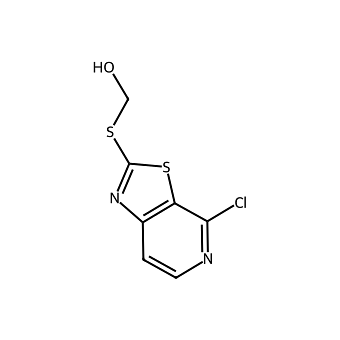 OCSc1nc2ccnc(Cl)c2s1